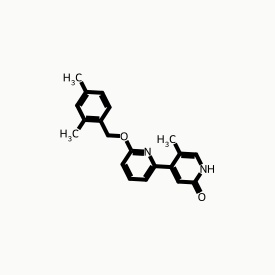 Cc1ccc(COc2cccc(-c3cc(=O)[nH]cc3C)n2)c(C)c1